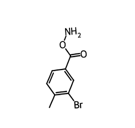 Cc1ccc(C(=O)ON)cc1Br